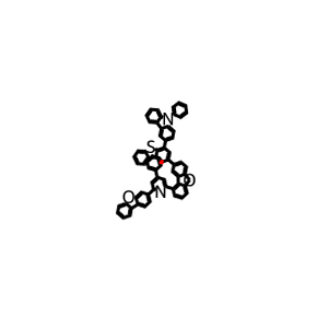 c1ccc(-c2cc(-c3ccc4c(c3)oc3ccccc34)nc(-c3cccc4oc5ccc(-c6cc(-c7ccc8c(c7)c7ccccc7n8-c7ccccc7)c7sc8ccccc8c7c6)cc5c34)c2)cc1